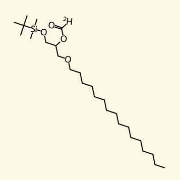 [2H]C(=O)OC(COCCCCCCCCCCCCCCCC)CO[Si](C)(C)C(C)(C)C